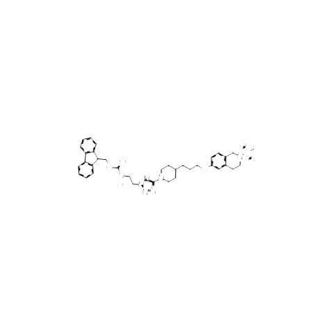 CS(=O)(=O)N1CCc2cc(OCCCC3CCN(c4nnn(CCNC(=O)OCC5c6ccccc6-c6ccccc65)n4)CC3)ccc2C1